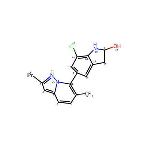 CC(C)c1cc2ccc(C(F)(F)F)c(-c3cc(Cl)c4c(c3)CC(O)N4)n2n1